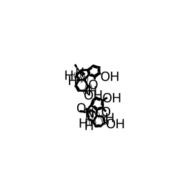 CN1CC[C@]23c4c5ccc(O)c4O[C@H]2[C@@H](O)C=C[C@H]3[C@H]1C5.CN1CC[C@]23c4c5ccc(O)c4O[C@H]2[C@@H](O)C=C[C@H]3[C@H]1C5=O